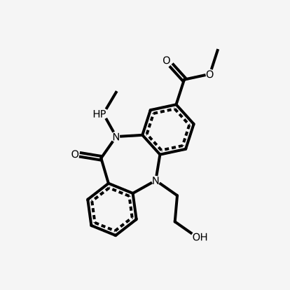 COC(=O)c1ccc2c(c1)N(PC)C(=O)c1ccccc1N2CCO